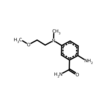 COCCN(C)c1ccc(N)c(C(N)=O)c1